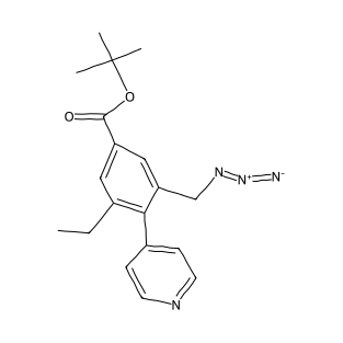 CCc1cc(C(=O)OC(C)(C)C)cc(CN=[N+]=[N-])c1-c1ccncc1